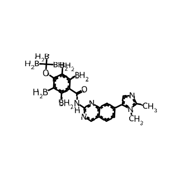 Bc1c(B)c(C(=O)Nc2ncc3ccc(-c4cnc(C)n4C)cc3n2)c(B)c(B)c1OC(B)(B)B